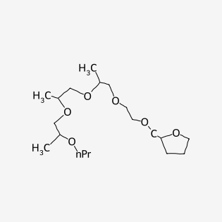 CCCOC(C)COC(C)COC(C)COCCOCC1CCCO1